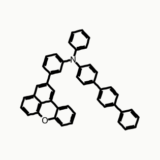 c1ccc(-c2ccc(-c3ccc(N(c4ccccc4)c4cccc(-c5cc6c7c(cccc7c5)Oc5ccccc5-6)c4)cc3)cc2)cc1